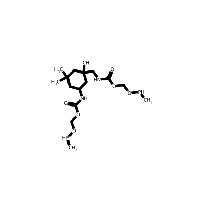 CPOCOC(=O)NCC1(C)CC(NC(=O)OCOPC)CC(C)(C)C1